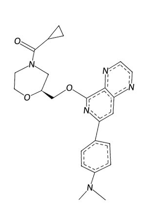 CN(C)c1ccc(-c2cc3nccnc3c(OC[C@@H]3CN(C(=O)C4CC4)CCO3)n2)cc1